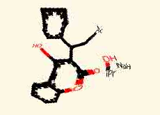 CC(=O)CC(c1ccccc1)c1c(O)c2ccccc2oc1=O.CC(C)O.[NaH]